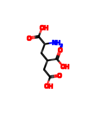 NC(CC(CC(=O)O)C(=O)O)C(=O)O